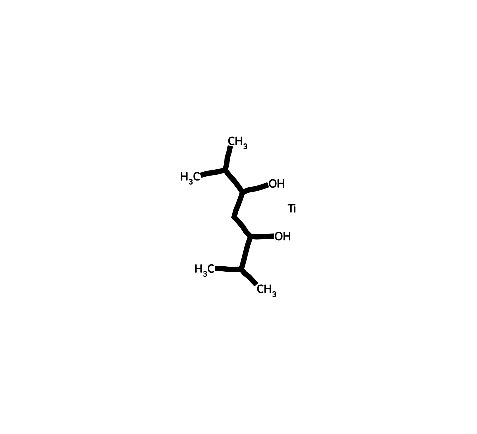 CC(C)C(O)CC(O)C(C)C.[Ti]